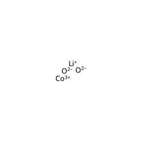 [Co+3].[Li+].[O-2].[O-2]